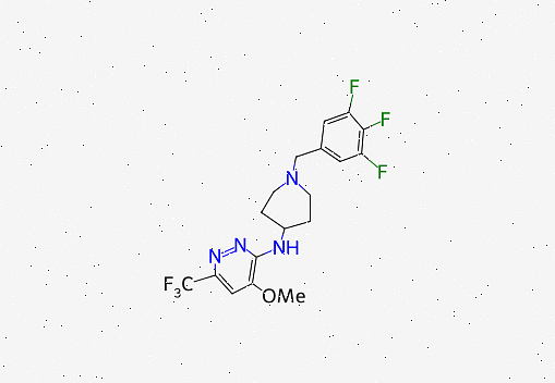 COc1cc(C(F)(F)F)nnc1NC1CCN(Cc2cc(F)c(F)c(F)c2)CC1